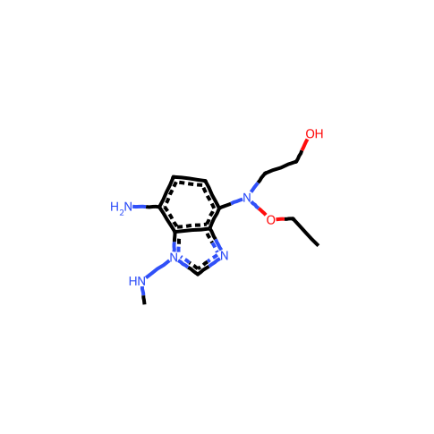 CCON(CCO)c1ccc(N)c2c1ncn2NC